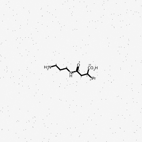 CC(C)C(CC(=O)NCCCN)C(=O)O